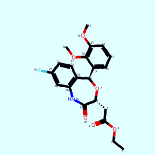 CCOC(=O)C[C@H]1O[C@H](c2cccc(OC)c2OC)c2ccc(F)cc2NC1=O